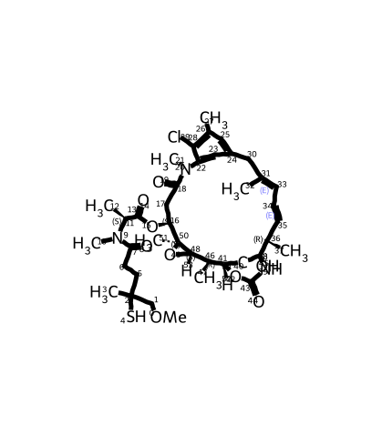 COCC(C)(S)CCC(=O)N(C)[C@@H](C)C(=O)O[C@H]1CC(=O)N(C)c2cc(cc(C)c2Cl)C/C(C)=C/C=C/[C@@H](C)[C@@]2(O)C[C@H](OC(=O)N2)[C@@H](C)[C@@H]2O[C@@]12C